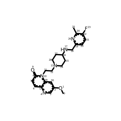 COc1cnc2ccc(=O)n(CCN3CCC(NCc4ccc(F)c(C)n4)CC3)c2c1